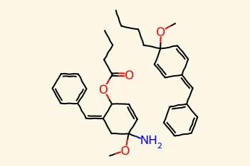 CCCC(=O)OC1C=CC(N)(OC)CC1=Cc1ccccc1.CCCCC1(OC)C=CC(=Cc2ccccc2)C=C1